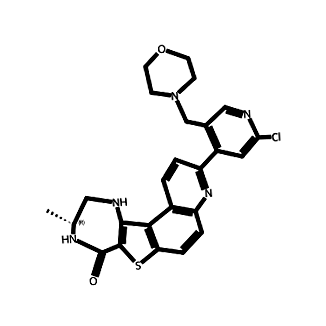 C[C@@H]1CNc2c(sc3ccc4nc(-c5cc(Cl)ncc5CN5CCOCC5)ccc4c23)C(=O)N1